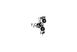 CS(=N)(=O)c1cccc(NC(=O)c2cc(C(F)(F)F)nnc2Oc2ccc(OC(F)F)cc2)c1